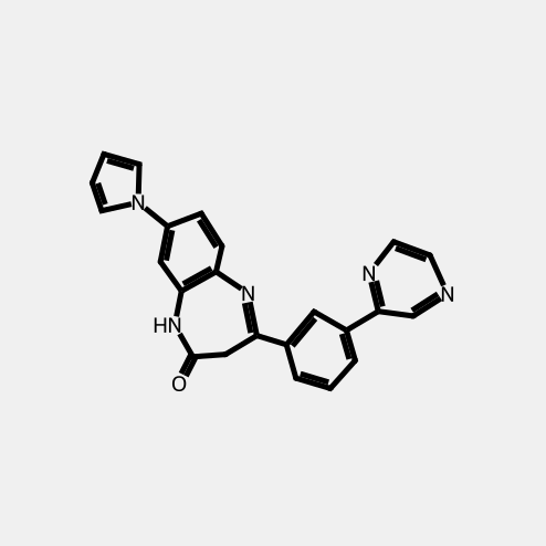 O=C1CC(c2cccc(-c3cnccn3)c2)=Nc2ccc(-n3cccc3)cc2N1